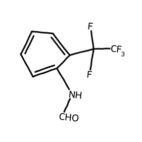 O=CNc1ccccc1C(F)(F)C(F)(F)F